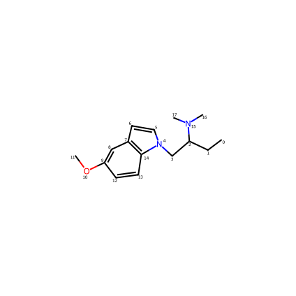 CCC(Cn1ccc2cc(OC)ccc21)N(C)C